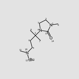 CN1CCN(C(C)(C)CCN(C)C(C)(C)C)C1=O